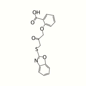 O=C(COc1ccccc1C(=O)O)CSc1nc2ccccc2o1